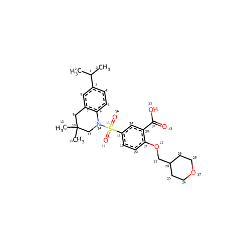 CC(C)c1ccc2c(c1)CC(C)(C)CN2S(=O)(=O)c1ccc(OCC2CCOCC2)c(C(=O)O)c1